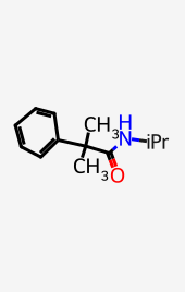 CC(C)NC(=O)C(C)(C)c1ccccc1